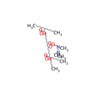 CCCCCCC(CCCCCC)C(CCCCCCC(CCCCCCC(C(=O)O)C(CCCCCC)CCCCCC)OC(=O)OCCN(CC)CCN(CC)CC)C(=O)O